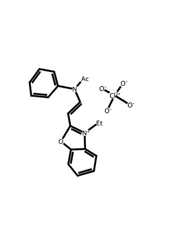 CC[n+]1c(C=CN(C(C)=O)c2ccccc2)oc2ccccc21.[O-][Cl+3]([O-])([O-])[O-]